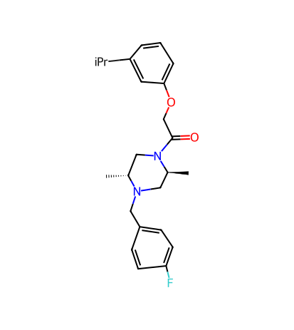 CC(C)c1cccc(OCC(=O)N2C[C@@H](C)N(Cc3ccc(F)cc3)C[C@@H]2C)c1